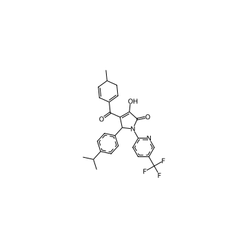 CC1C=CC(C(=O)C2=C(O)C(=O)N(c3ccc(C(F)(F)F)cn3)C2c2ccc(C(C)C)cc2)=CC1